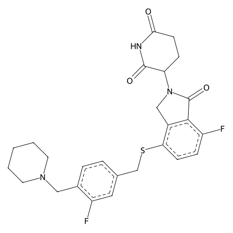 O=C1CCC(N2Cc3c(SCc4ccc(CN5CCCCC5)c(F)c4)ccc(F)c3C2=O)C(=O)N1